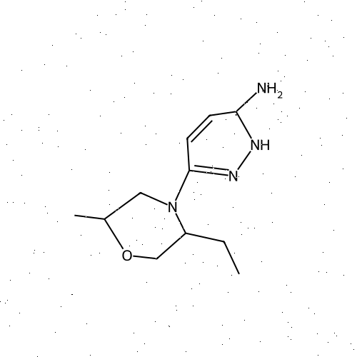 CCC1COC(C)CN1C1=NN[C](N)C=C1